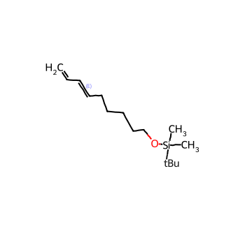 C=C/C=C/CCCCCO[Si](C)(C)C(C)(C)C